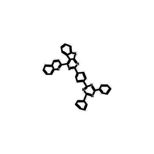 c1ccc(-c2nc(-c3ccccc3)nc(-c3ccc(-c4nc(-c5ccc6ccccc6n5)c5c(n4)sc4ccccc45)cc3)n2)cc1